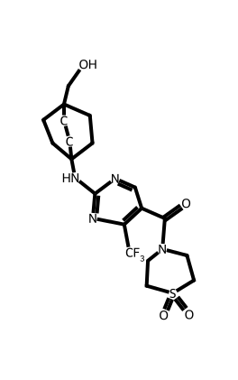 O=C(c1cnc(NC23CCC(CO)(CC2)CC3)nc1C(F)(F)F)N1CCS(=O)(=O)CC1